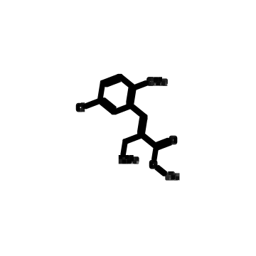 CNC/C(=C\c1cc(Cl)ccc1OC)C(=O)OC(C)(C)C